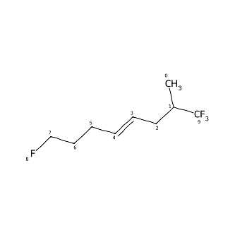 CC(CC=CCCCF)C(F)(F)F